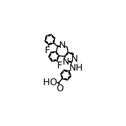 O=C(O)c1ccc(Nc2ncc3c(n2)-c2c(F)cccc2C(c2ccccc2F)=NC3)cc1